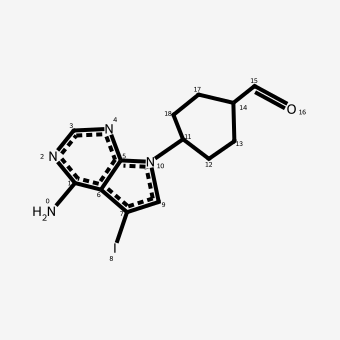 Nc1ncnc2c1c(I)cn2C1CCC(C=O)CC1